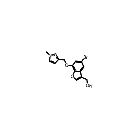 Cn1ccc(COc2cc(Br)cc3c(CO)coc23)n1